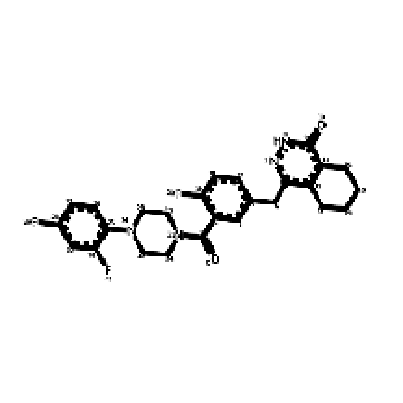 O=C(c1cc(Cc2n[nH]c(=O)c3c2CCCC3)ccc1F)N1CCN(c2ccc(F)cc2F)CC1